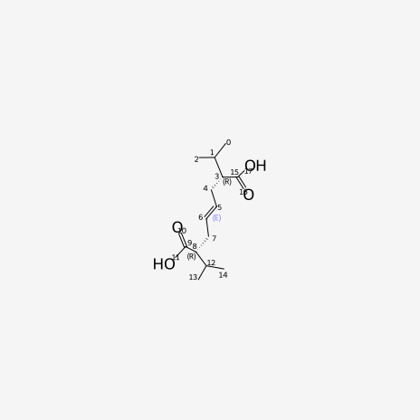 CC(C)[C@@H](C/C=C/C[C@@H](C(=O)O)C(C)C)C(=O)O